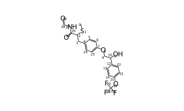 CSC(Cc1ccc(OCC(O)c2ccc(OC(F)(F)F)cc2)cc1)C(=O)NC=O